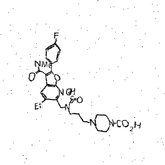 CCc1cc2c(C(=O)NC)c(-c3ccc(F)cc3)oc2nc1CN(CCCN1CCN(C(=O)O)CC1)[SH](=O)=O